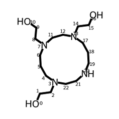 OCCN1CCCN(CCO)CCN(CCO)CCCNCC1